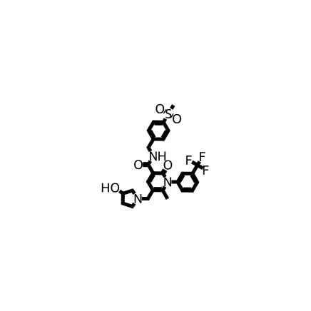 Cc1c(CN2CCC(O)C2)cc(C(=O)NCc2ccc(S(C)(=O)=O)cc2)c(=O)n1-c1cccc(C(F)(F)F)c1